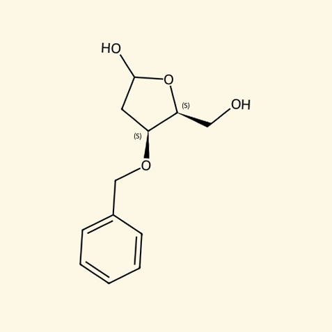 OC[C@@H]1OC(O)C[C@@H]1OCc1ccccc1